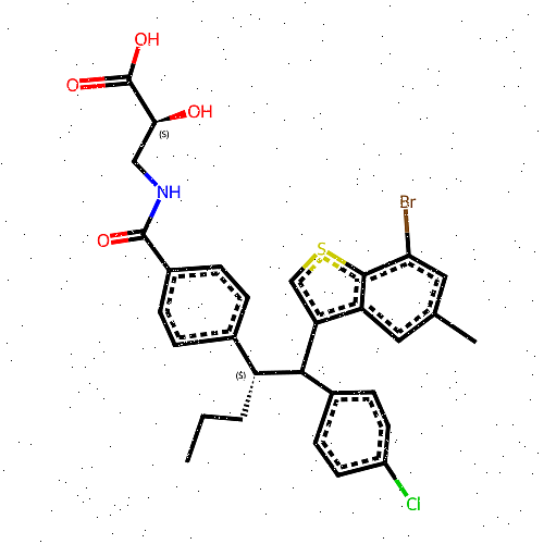 CCC[C@H](c1ccc(C(=O)NC[C@H](O)C(=O)O)cc1)C(c1ccc(Cl)cc1)c1csc2c(Br)cc(C)cc12